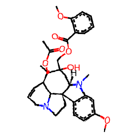 CC[C@]12C=CCN3CC[C@@]4(c5ccc(OC)cc5N(C)[C@H]4C(O)(COC(=O)c4ccccc4OC)[C@@H]1OC(C)=O)C32